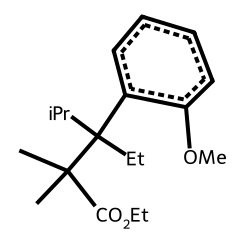 CCOC(=O)C(C)(C)C(CC)(c1ccccc1OC)C(C)C